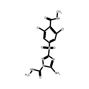 CNC(=O)c1c(Cl)cc(S(=O)(=O)c2nc(N)n(C(=O)NC)n2)cc1Cl